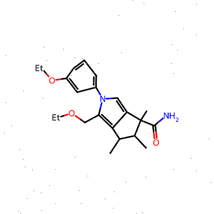 CCOCc1c2c(cn1-c1cccc(OCC)c1)C(C)(C(N)=O)C(C)C2C